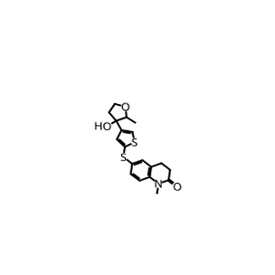 CC1OCCC1(O)c1csc(Sc2ccc3c(c2)CCC(=O)N3C)c1